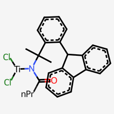 CCCC(=O)[N]([Ti]([Cl])[Cl])C(C)(C)c1ccccc1C1c2ccccc2-c2ccccc21